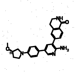 CO[C@@H]1CCN(c2ccc(-c3cnc(N)c(-c4ccc5c(c4)CCNC5=O)c3)cc2)C1